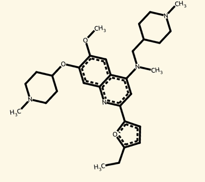 CCc1ccc(-c2cc(N(C)CC3CCN(C)CC3)c3cc(OC)c(OC4CCN(C)CC4)cc3n2)o1